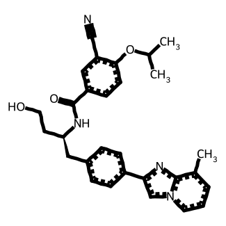 Cc1cccn2cc(-c3ccc(C[C@@H](CCO)NC(=O)c4ccc(OC(C)C)c(C#N)c4)cc3)nc12